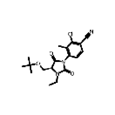 CCN1C(=O)N(c2ccc(C#N)c(Cl)c2C)C(=O)[C@@H]1COC(C)(C)C